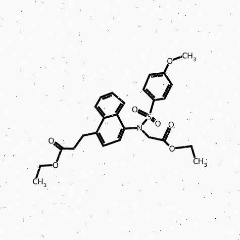 CCOC(=O)CCc1ccc(N(CC(=O)OCC)S(=O)(=O)c2ccc(OC)cc2)c2ccccc12